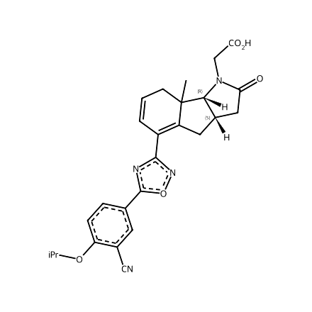 CC(C)Oc1ccc(-c2nc(C3=C4C[C@H]5CC(=O)N(CC(=O)O)[C@H]5C4(C)CC=C3)no2)cc1C#N